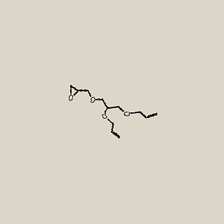 C=CCOCC(COCC1CO1)OCC=C